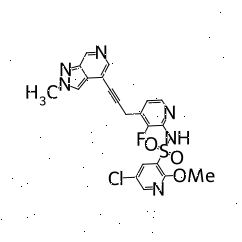 COc1ncc(Cl)cc1S(=O)(=O)Nc1nccc(CC#Cc2cncc3nn(C)cc23)c1F